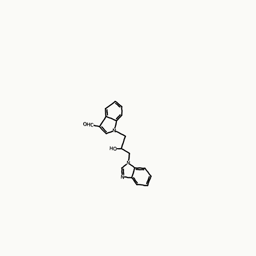 O=Cc1cn(CC(O)Cn2cnc3ccccc32)c2ccccc12